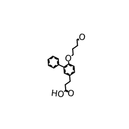 O=CCCCOc1ccc(CCC(=O)O)cc1-c1ccccc1